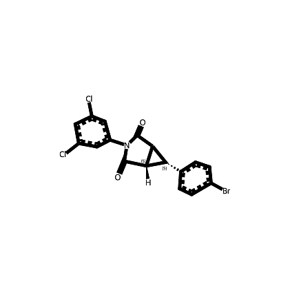 O=C1C2[C@@H](C(=O)N1c1cc(Cl)cc(Cl)c1)[C@H]2c1ccc(Br)cc1